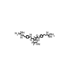 N=C(N)NCCc1ccc(NC(=O)c2ccc(C(=O)Nc3ccc(CCNC(=N)N)cc3)s2)cc1.O=C(O)C(F)(F)F